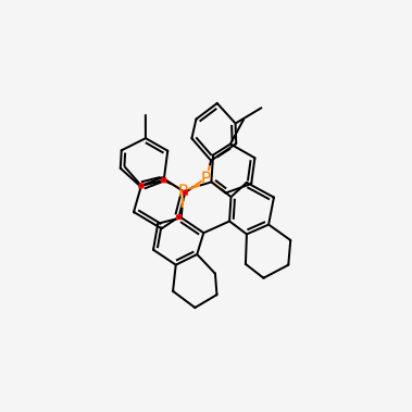 Cc1cccc(P(c2cccc(C)c2)c2ccc3c(c2-c2c(P(c4cccc(C)c4)c4cccc(C)c4)ccc4c2CCCC4)CCCC3)c1